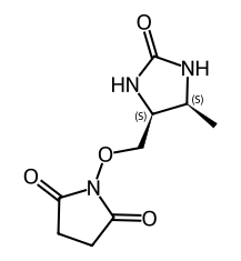 C[C@@H]1NC(=O)N[C@@H]1CON1C(=O)CCC1=O